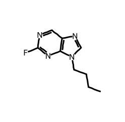 CCCCn1cnc2cnc(F)nc21